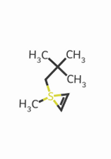 CC(C)(C)CS1(C)C=C1